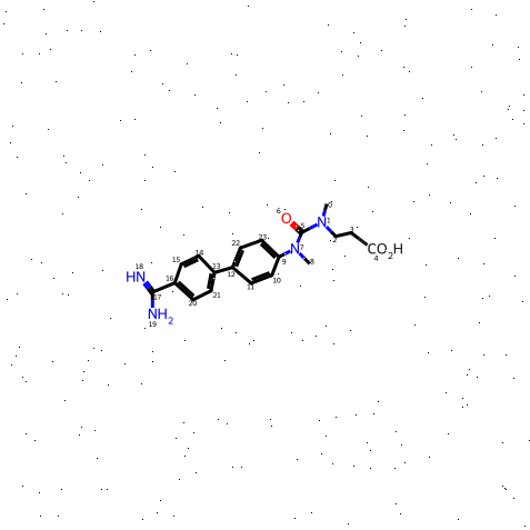 CN(CCC(=O)O)C(=O)N(C)c1ccc(-c2ccc(C(=N)N)cc2)cc1